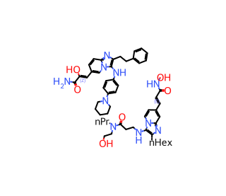 CCCCCCc1nc2cc(/C=C/C(=O)NO)ccn2c1NCCC(=O)N(CCC)CCO.NC(=O)/C(O)=C/c1ccc2nc(CCc3ccccc3)c(Nc3ccc(N4CCCCC4)cc3)n2c1